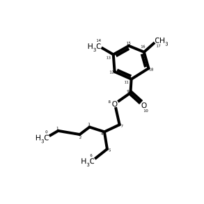 CCCCC(CC)COC(=O)c1cc(C)cc(C)c1